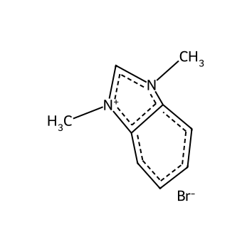 Cn1c[n+](C)c2ccccc21.[Br-]